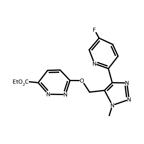 CCOC(=O)c1ccc(OCc2c(-c3ccc(F)cn3)nnn2C)nn1